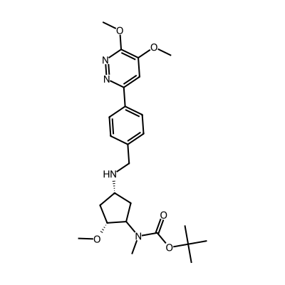 COc1cc(-c2ccc(CN[C@@H]3CC(N(C)C(=O)OC(C)(C)C)[C@H](OC)C3)cc2)nnc1OC